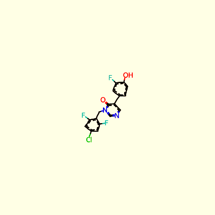 O=c1c(-c2ccc(O)c(F)c2)cncn1Cc1c(F)cc(Cl)cc1F